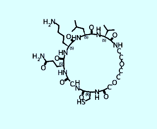 CC(C)C[C@@H]1NC(=O)[C@H](CCCCN)NC(=O)[C@H](CCC(N)=O)NC(=O)CNC(=O)[C@H](CS)NC(=O)COCCOCCNC(=O)[C@H](C(C)C)NC1=O